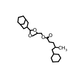 CC(CCC(=O)OCC1COC(C2CC3CCCC(C3)C2)O1)CC1CCCCC1